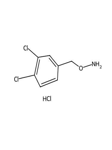 Cl.NOCc1ccc(Cl)c(Cl)c1